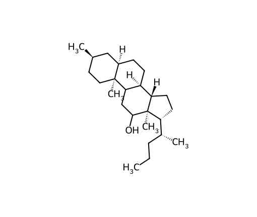 CCC[C@@H](C)[C@H]1CC[C@H]2[C@@H]3CC[C@@H]4C[C@H](C)CC[C@]4(C)C3CC(O)[C@]12C